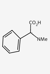 CN[C](C(=O)O)c1ccccc1